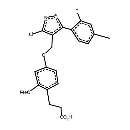 COc1cc(OCc2c(Cl)nsc2-c2ccc(C)cc2F)ccc1CCC(=O)O